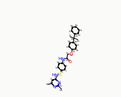 Cc1cc(NSc2ccc(NC(=O)COc3ccc(C(C)(C)c4ccccc4)cc3)cc2)nc(C)n1